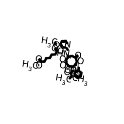 COC(=O)CCCCCC(=O)Oc1c(OC)ccnc1CN[C@H]1CC(=O)C(=O)[C@H](Cc2ccccc2)[C@H](OC(=O)C(C)C)[C@H](C)C(=O)C1=O